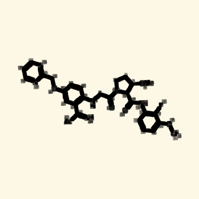 CO[C@@H]1CCN(C(=O)CNc2ccc(OCc3ncccn3)cc2C(=N)C(C)=O)[C@@H]1C(=O)Nc1cccc(OC(F)(F)F)c1F